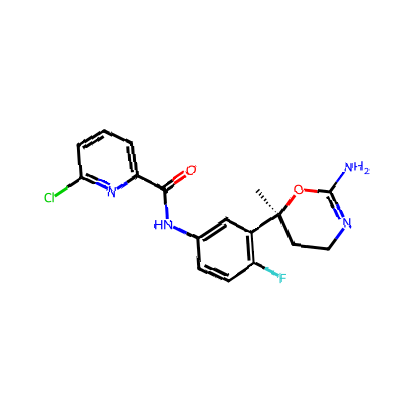 C[C@@]1(c2cc(NC(=O)c3cccc(Cl)n3)ccc2F)CCN=C(N)O1